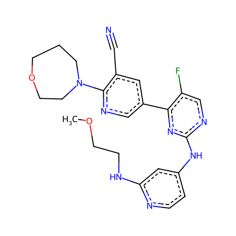 COCCNc1cc(Nc2ncc(F)c(-c3cnc(N4CCCOCC4)c(C#N)c3)n2)ccn1